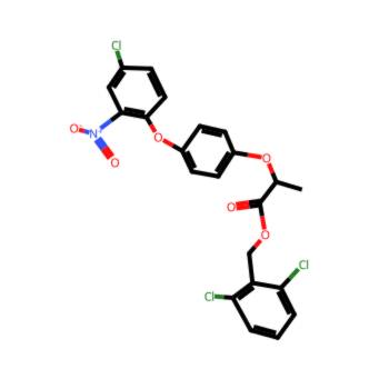 CC(Oc1ccc(Oc2ccc(Cl)cc2[N+](=O)[O-])cc1)C(=O)OCc1c(Cl)cccc1Cl